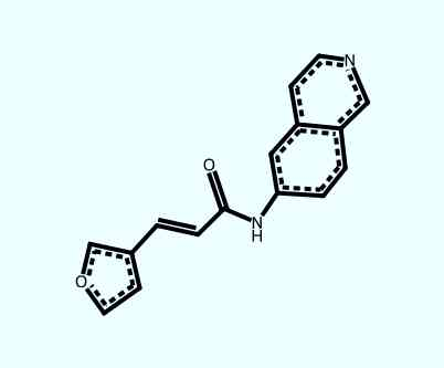 O=C(/C=C/c1ccoc1)Nc1ccc2cnccc2c1